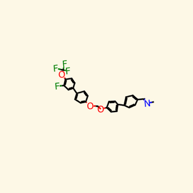 CN=Cc1ccc(-c2ccc(OCOc3ccc(-c4ccc(OC(F)(F)F)c(F)c4)cc3)cc2)cc1